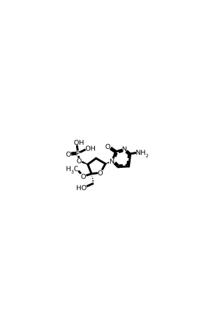 CO[C@]1(CO)O[C@@H](n2ccc(N)nc2=O)C[C@@H]1OP(=O)(O)O